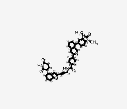 Cn1c(=O)n(C)c2cc(-c3cccc4cc(-c5ccc(C(=O)NCC#Cc6cc7c([C@H]8CCC(=O)NC8=O)cccc7o6)nc5)ncc34)ccc21